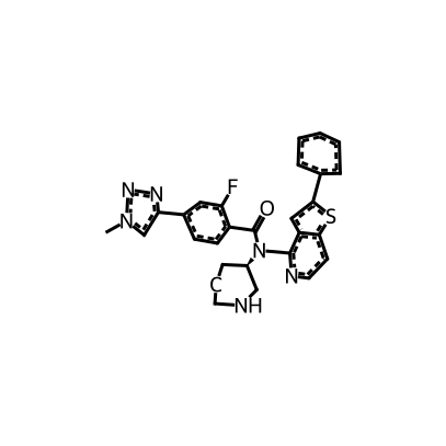 Cn1cc(-c2ccc(C(=O)N(c3nccc4sc(-c5ccccc5)cc34)[C@@H]3CCCNC3)c(F)c2)nn1